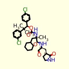 CC(C)(c1cccc(Cl)c1)C(OC(=O)N[C@](C)(CC1CCCCC1)C(=O)N[C@H](C=O)C[C@@H]1CCNC1=O)c1ccc(Cl)cc1